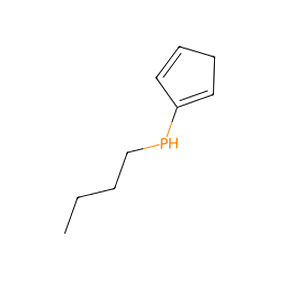 CCCCPC1=CCC=C1